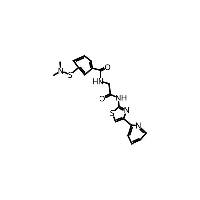 CN(C)Sc1cccc(C(=O)NCC(=O)Nc2nc(-c3ccccn3)cs2)c1